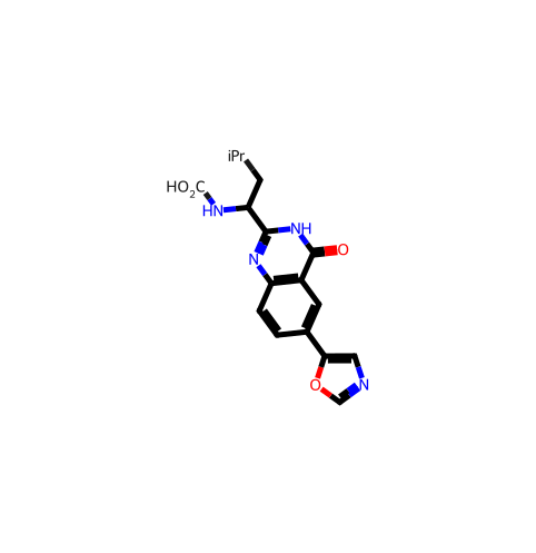 CC(C)CC(NC(=O)O)c1nc2ccc(-c3cnco3)cc2c(=O)[nH]1